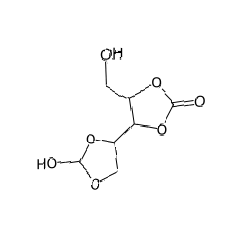 O=C1OC(CO)C(C2COC(O)O2)O1